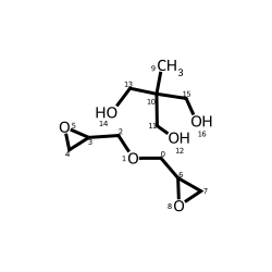 C(OCC1CO1)C1CO1.CC(CO)(CO)CO